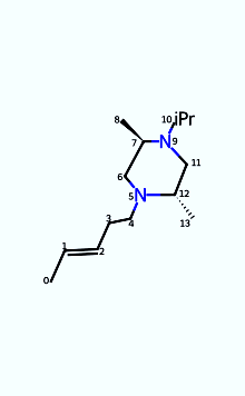 C/C=C/CCN1C[C@@H](C)N(C(C)C)C[C@@H]1C